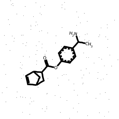 CC(N)c1ccc(OC(=O)C2CC3C=CC2C3)cc1